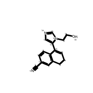 N#Cc1ccc2c(c1)CCC=C2c1cncn1CCO